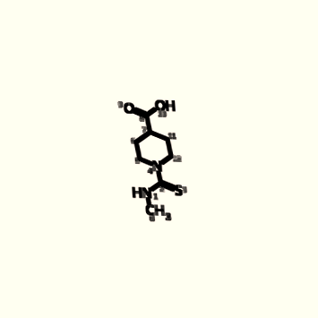 CNC(=S)N1CCC(C(=O)O)CC1